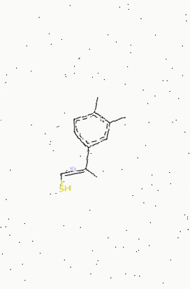 C/C(=C\S)c1ccc(C)c(C)c1